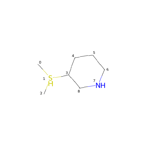 C[SH](C)C1CCCNC1